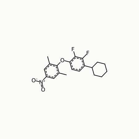 Cc1cc([N+](=O)[O-])cc(C)c1Oc1ccc(C2CCCCC2)c(F)c1F